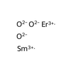 [Er+3].[O-2].[O-2].[O-2].[Sm+3]